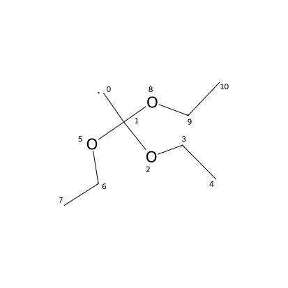 [CH2]C(OCC)(OCC)OCC